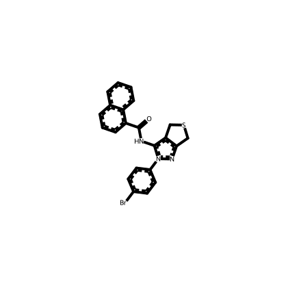 O=C(Nc1c2c(nn1-c1ccc(Br)cc1)CSC2)c1cccc2ccccc12